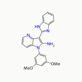 COc1cc(OC)cc(-n2c(N)c(-c3nc4ccccc4[nH]3)c3ncccc32)c1